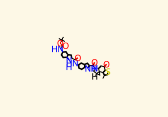 Cc1csc2c1C13C[C@@H]1CN(C(=O)c1cc4cc(NC(=O)c5cc6cc(NC(=O)OC(C)(C)C)ccc6[nH]5)ccc4[nH]1)C3=CC2=O